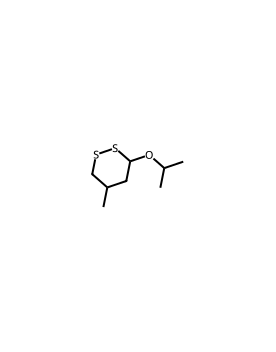 CC1CSSC(OC(C)C)C1